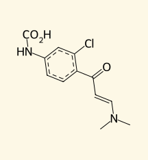 CN(C)/C=C/C(=O)c1ccc(NC(=O)O)cc1Cl